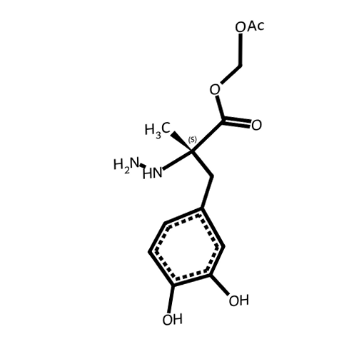 CC(=O)OCOC(=O)[C@](C)(Cc1ccc(O)c(O)c1)NN